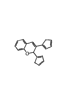 C1=CCC(C2=Cc3ccccc3OC2C2=CC=CC2)=C1